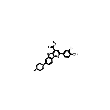 COC(=O)c1cc(-c2ccc(O)c(Cl)c2)nc2c1[nH]c1cc(N3CCN(C)CC3)ccc12